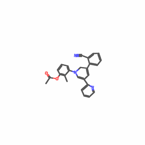 CC(=O)Oc1cccc(N2C=C(c3ccccn3)C=C(c3ccccc3C#N)C2)c1C